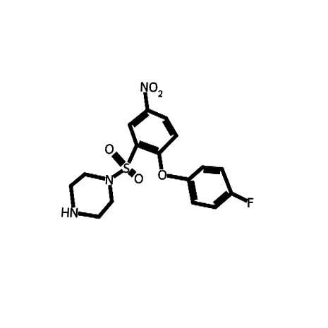 O=[N+]([O-])c1ccc(Oc2ccc(F)cc2)c(S(=O)(=O)N2CCNCC2)c1